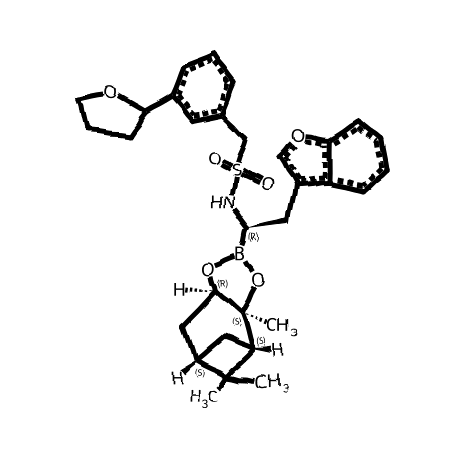 CC1(C)[C@@H]2C[C@H]3OB([C@H](Cc4coc5ccccc45)NS(=O)(=O)Cc4cccc(C5CCCO5)c4)O[C@@]3(C)[C@H]1C2